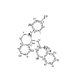 Ic1ccc(N2CCc3ccccc3C2Cc2ccc3ccccc3n2)cc1